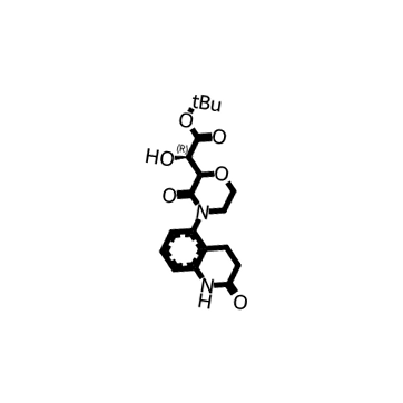 CC(C)(C)OC(=O)[C@H](O)C1OCCN(c2cccc3c2CCC(=O)N3)C1=O